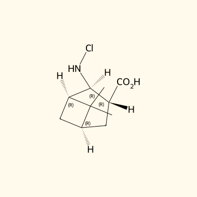 CC1(C)[C@H]2C[C@@H](C(=O)O)[C@H](NCl)[C@@H]1C2